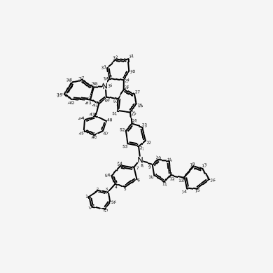 c1ccc(-c2ccc(N(c3ccc(-c4ccccc4)cc3)c3ccc(-c4ccc5c6ccccc6n6c7ccccc7c(-c7ccccc7)c6c5c4)cc3)cc2)cc1